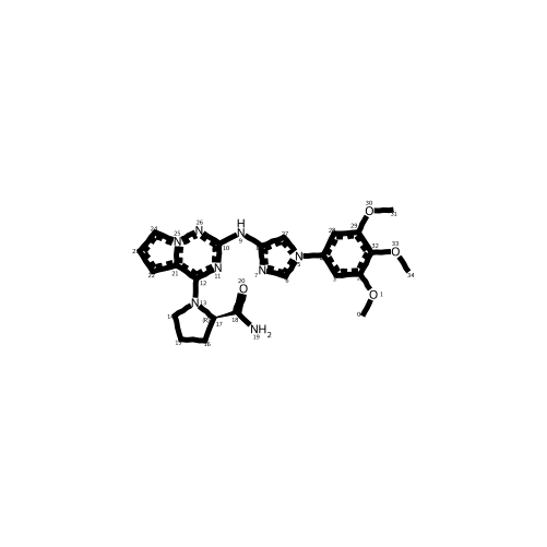 COc1cc(-n2cnc(Nc3nc(N4CCC[C@@H]4C(N)=O)c4cccn4n3)c2)cc(OC)c1OC